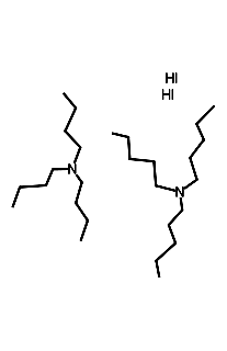 CCCCCN(CCCCC)CCCCC.CCCCN(CCCC)CCCC.I.I